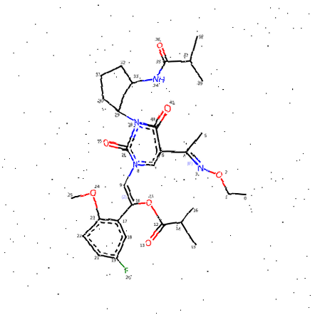 CCO/N=C(\C)c1cn(/C=C(\OC(=O)C(C)C)c2cc(F)ccc2OC)c(=O)n(C2CCCC2NC(=O)C(C)C)c1=O